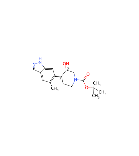 Cc1cc2cn[nH]c2cc1[C@@H]1CCN(C(=O)OC(C)(C)C)C[C@H]1O